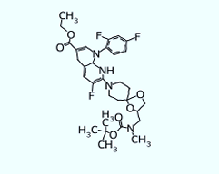 CCOC(=O)C1=CN(c2ccc(F)cc2F)C2NC(N3CCC4(CC3)OCC(CN(C)C(=O)OC(C)(C)C)O4)=C(F)C=C2C1